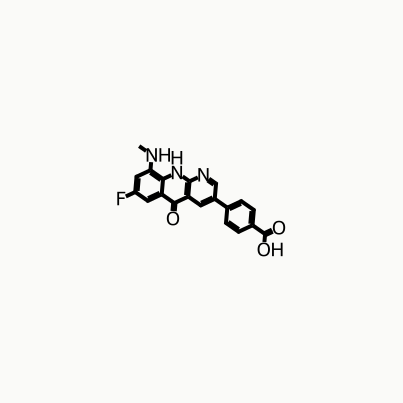 CNc1cc(F)cc2c(=O)c3cc(-c4ccc(C(=O)O)cc4)cnc3[nH]c12